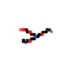 CCCOCCN(CCOC)CCOCCO